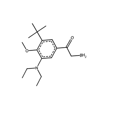 BCC(=O)c1cc(N(CC)CC)c(OC)c(C(C)(C)C)c1